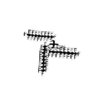 OCC(CSC(F)(F)C(F)(F)C(F)(F)C(F)(F)C(F)(F)C(F)(F)C(F)(F)C(F)(F)F)(CSC(F)(F)C(F)(F)C(F)(F)C(F)(F)C(F)(F)C(F)(F)C(F)(F)C(F)(F)F)CSC(F)(F)C(F)(F)C(F)(F)C(F)(F)C(F)(F)C(F)(F)C(F)(F)C(F)(F)F